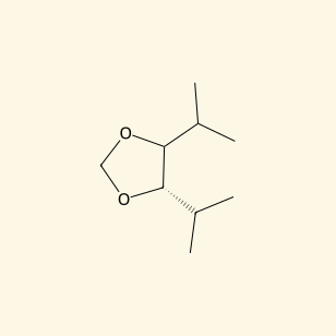 CC(C)C1OCO[C@H]1C(C)C